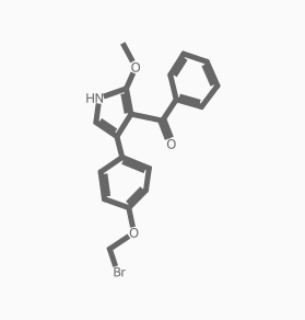 COc1[nH]cc(-c2ccc(OCBr)cc2)c1C(=O)c1ccccc1